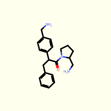 NCc1ccc(C(Cc2ccccc2)C(=O)N2CCCC2CN)cc1